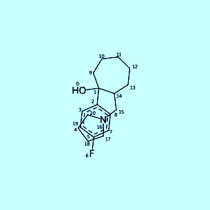 OC1(c2ccc(F)cc2)CCCCCC1CN1CCCC1